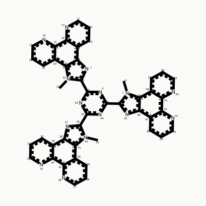 Cn1c(-c2nc(-c3nc4c5cccnc5c5ncccc5c4n3C)nc(-c3nc4c5cccnc5c5ncccc5c4n3C)n2)nc2c3cccnc3c3ncccc3c21